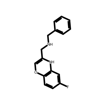 Fc1ccc2c(c1)NC(CNCc1ccccc1)=CO2